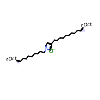 CCCCCCCC/C=C\CCCCCCCCCc1cc[n+](CCCCCCCC/C=C\CCCCCCCC)cc1.[Cl-]